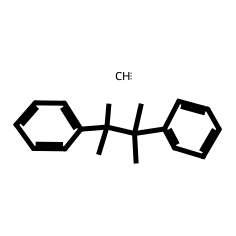 CC(C)(c1ccccc1)C(C)(C)c1ccccc1.[CH]